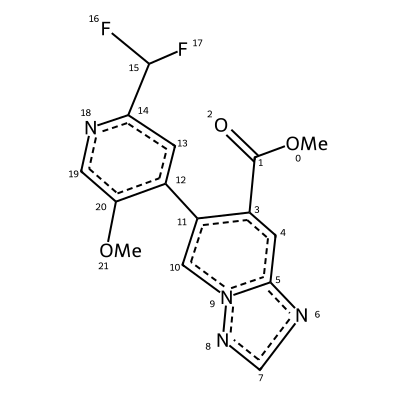 COC(=O)c1cc2ncnn2cc1-c1cc(C(F)F)ncc1OC